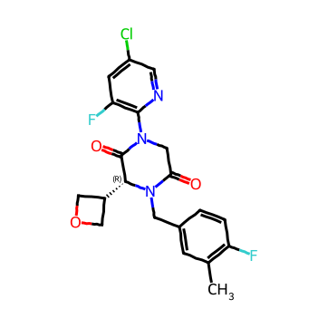 Cc1cc(CN2C(=O)CN(c3ncc(Cl)cc3F)C(=O)[C@H]2C2COC2)ccc1F